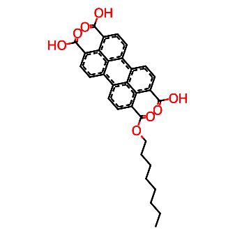 CCCCCCCCOC(=O)c1ccc2c3ccc(C(=O)O)c4c(C(=O)O)ccc(c5ccc(C(=O)O)c1c52)c43